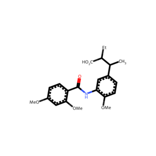 CCC(C(=O)O)C(C)c1ccc(OC)c(NC(=O)c2ccc(OC)cc2OC)c1